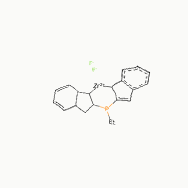 CCP1C2=Cc3ccccc3[CH]2[Zr+2][CH]2C3C=CC=CC3CC21.[F-].[F-]